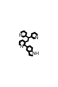 c1cncc(C(Cc2cccnc2-c2ccc3[nH]ccc3c2)c2cccnc2)c1